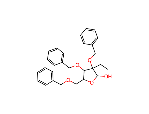 CCC1(OCc2ccccc2)C(O)OC(COCc2ccccc2)C1OCc1ccccc1